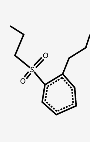 CCCc1ccccc1S(=O)(=O)CCC